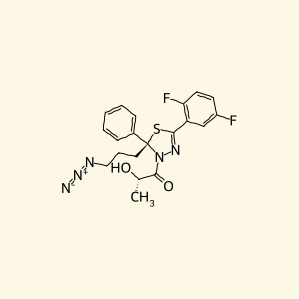 C[C@H](O)C(=O)N1N=C(c2cc(F)ccc2F)S[C@@]1(CCCN=[N+]=[N-])c1ccccc1